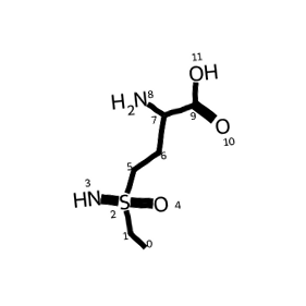 CCS(=N)(=O)CCC(N)C(=O)O